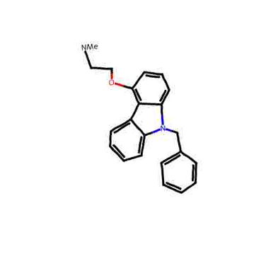 CNCCOc1cccc2c1c1ccccc1n2Cc1ccccc1